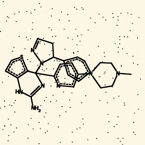 CN1CCN(c2ccc(C3(N4N=CCC4c4ccccc4)N=C(N)Nc4ccsc43)nc2)CC1